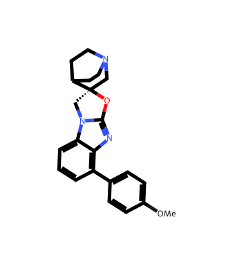 COc1ccc(-c2cccc3c2nc2n3C[C@]3(CN4CCC3CC4)O2)cc1